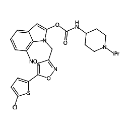 CC(C)N1CCC(NC(=O)Oc2cc3cccc([N+](=O)[O-])c3n2Cc2cc(-c3ccc(Cl)s3)on2)CC1